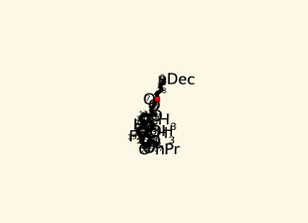 CCCCCCCCCCCCCCCC(=O)OCC(=O)[C@H]1CC[C@H]2[C@@H]3C[C@H](F)C4=CC(=O)C5(C[C@]4(C)[C@@]3(F)[C@@H](O)C[C@]12C)OC(CCC)O5